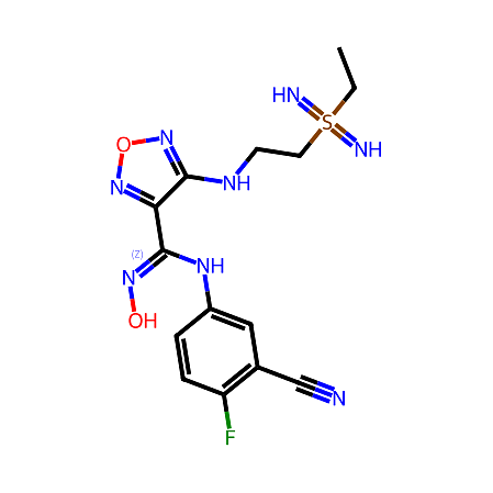 CCS(=N)(=N)CCNc1nonc1/C(=N/O)Nc1ccc(F)c(C#N)c1